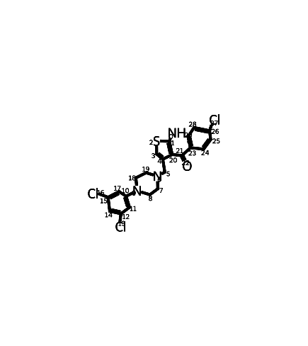 Nc1scc(CN2CCN(c3cc(Cl)cc(Cl)c3)CC2)c1C(=O)c1ccc(Cl)cc1